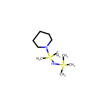 CS(C)(C)NS(C)(C)N1CCCCC1